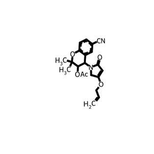 C=CCOC1=CC(=O)N(C2c3cc(C#N)ccc3OC(C)(C)C2OC(C)=O)C1